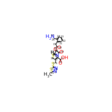 Cc1nnc(SCC2=C(C(=O)O)N3C(=O)[C@@H](OC(=O)Cc4ccccc4CN)[C@H]3SC2)s1